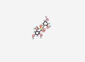 CCP(=O)(C(=O)c1ccc(OC)cc1OC)C(=O)c1c(OC)cc(OC)cc1OC